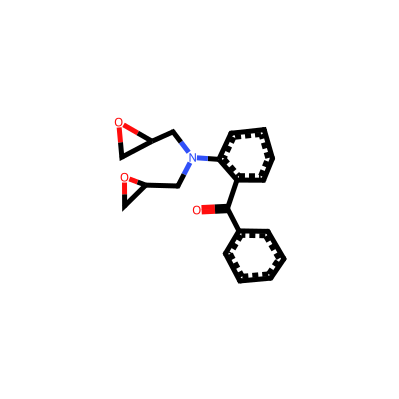 O=C(c1ccccc1)c1ccccc1N(CC1CO1)CC1CO1